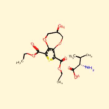 CC(C)[C@H](N)C(=O)O.CCOC(=O)c1sc(C(=O)OCC)c2c1OCC(O)CO2